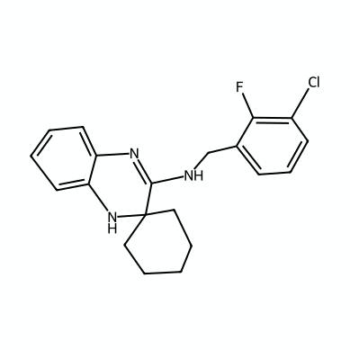 Fc1c(Cl)cccc1CNC1=Nc2ccccc2NC12CCCCC2